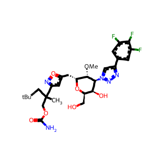 CO[C@@H]1[C@@H](n2cc(-c3cc(F)c(F)c(F)c3)nn2)[C@@H](O)[C@@H](CO)O[C@@H]1Cc1cc(C(C)(COC(N)=O)CC(C)(C)C)no1